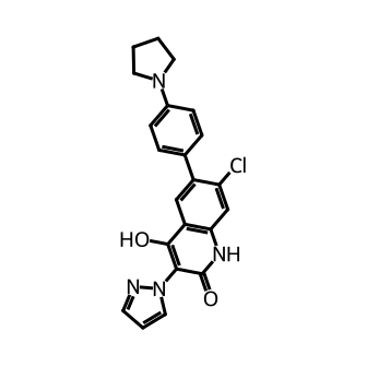 O=c1[nH]c2cc(Cl)c(-c3ccc(N4CCCC4)cc3)cc2c(O)c1-n1cccn1